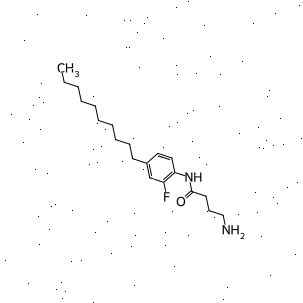 CCCCCCCCCCc1ccc(NC(=O)CCCN)c(F)c1